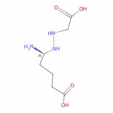 N[C@H](CCCC(=O)O)NNCC(=O)O